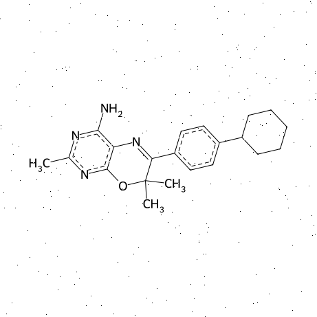 Cc1nc(N)c2c(n1)OC(C)(C)C(c1ccc(C3CCCCC3)cc1)=N2